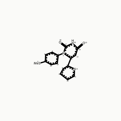 CSc1ccc(-n2c(-c3ccccn3)cc(=O)[nH]c2=O)cc1